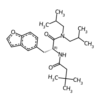 CC(C)CN(CC(C)C)C(=O)[C@@H](Cc1ccc2occc2c1)NC(=O)CC(C)(C)C